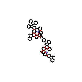 CC1(C)c2ccccc2-c2cc(-c3ccccc3N(c3ccccc3-c3ccc4c(c3)C(c3ccccc3)(c3ccccc3)c3ccccc3-4)c3ccccc3-c3cccc4c3-c3ccccc3C4(C)Cc3ccc(C4(C)c5ccccc5-c5ccc(-c6ccccc6N(c6ccc7c(c6)C(C)(C)c6ccccc6-7)c6ccccc6-c6cccc7c6-c6ccccc6C7(C)C)cc54)cc3)ccc21